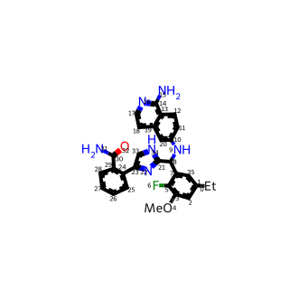 CCc1cc(OC)c(F)c(C(Nc2ccc3c(N)nccc3c2)c2nc(-c3ccccc3C(N)=O)c[nH]2)c1